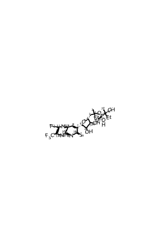 CCC(C)(C[C@H]1O[C@@H](c2cc3nc(F)c(C(F)(F)F)[nH]c-3nc2=S)[C@@H](O)C1O)OP(=O)(O)C(C)(O)CC